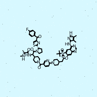 CN[C@@H](C)C(=O)NC(C(=O)N1CCC[C@H]1c1nc(C(=O)c2ccc(F)cc2)cs1)C1CCN(C(=O)c2ccc(N3CCC(CCOc4cc5ncnc(Nc6n[nH]c(C)c6C)c5cc4S(=O)(=O)C(C)(C)C)CC3)nc2)CC1